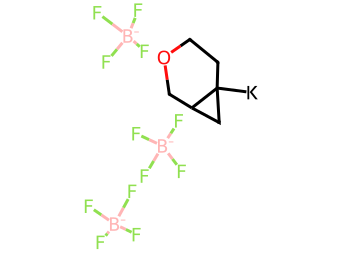 F[B-](F)(F)F.F[B-](F)(F)F.F[B-](F)(F)F.[K][C]12CCOCC1C2